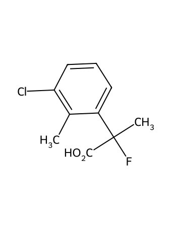 Cc1c(Cl)cccc1C(C)(F)C(=O)O